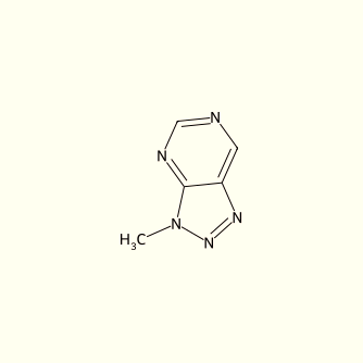 Cn1nnc2cncnc21